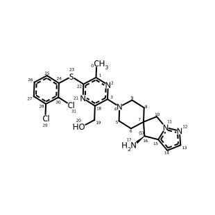 Cc1nc(N2CCC3(CC2)Cn2nccc2[C@H]3N)c(CO)nc1Sc1cccc(Cl)c1Cl